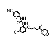 N#Cc1ccc(NC(=O)Nc2cc(Cl)ccc2OCCCC(=O)N2CCOCC2)nc1